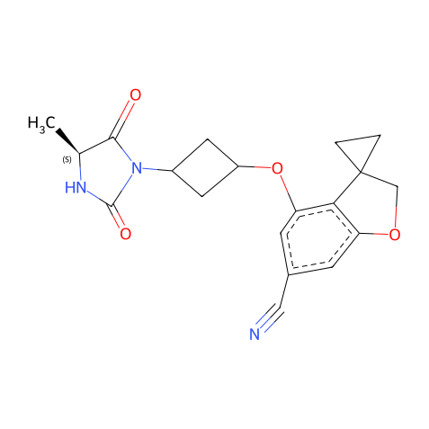 C[C@@H]1NC(=O)N(C2CC(Oc3cc(C#N)cc4c3C3(CC3)CO4)C2)C1=O